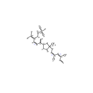 C=C/C(Cl)=C\C(Cl)=C/CC1(C(F)(F)F)CC(C(=C)/C=C\C(COS(C)(=O)=O)=C(C)C)CS1